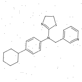 c1cncc(CN(C2=NCCS2)c2ccc(C3CCCCC3)cc2)c1